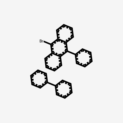 Brc1c2ccccc2c(-c2ccccc2)c2ccccc12.c1ccc(-c2ccccc2)cc1